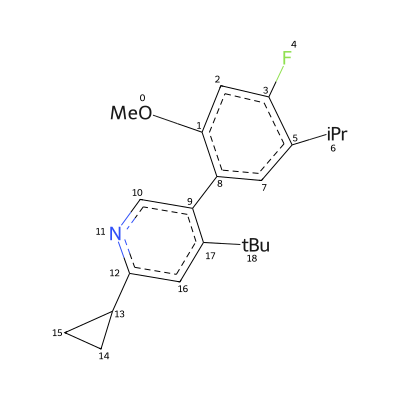 COc1cc(F)c(C(C)C)cc1-c1cnc(C2CC2)cc1C(C)(C)C